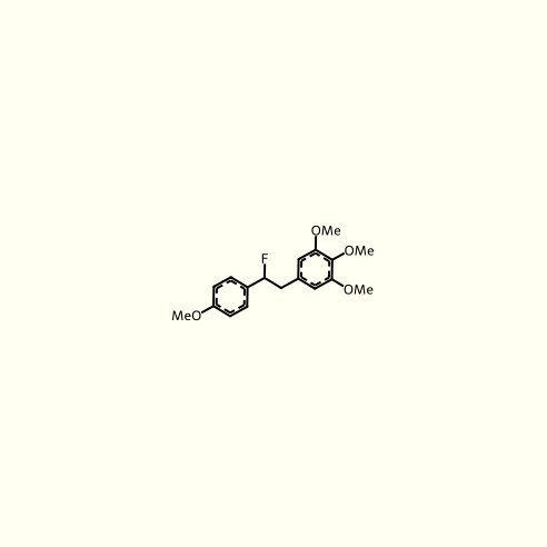 COc1ccc(C(F)Cc2cc(OC)c(OC)c(OC)c2)cc1